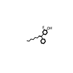 CCCCCC/C=C(\c1ccccc1)c1ccc(O)c(F)c1